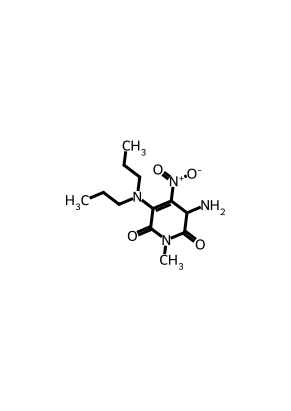 CCCN(CCC)C1=C([N+](=O)[O-])C(N)C(=O)N(C)C1=O